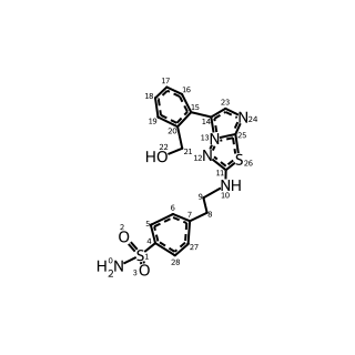 NS(=O)(=O)c1ccc(CCNc2nn3c(-c4ccccc4CO)cnc3s2)cc1